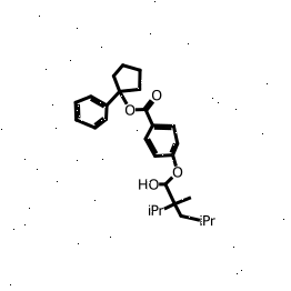 CC(C)CC(C)(C(C)C)C(O)Oc1ccc(C(=O)OC2(c3ccccc3)CCCC2)cc1